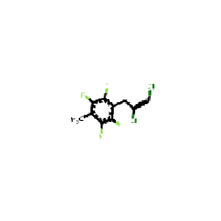 [CH2]c1c(F)c(F)c(C/C(Cl)=C\Cl)c(F)c1F